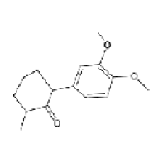 COc1ccc(C2CCCC(C)C2=O)cc1OC